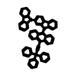 C(#C[Si](c1ccccc1)(c1ccccc1)c1ccccc1)c1c2ccccc2c(-n2c3ccccc3c3ccc(-n4c5c(c6ccccc64)C=CCC5)cc32)c2ccccc12